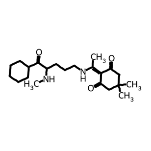 CNC(CCCNC(C)=C1C(=O)CC(C)(C)CC1=O)C(=O)C1CCCCC1